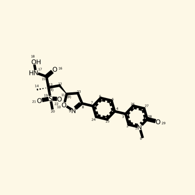 Cn1cc(-c2ccc(C3=NO[C@@H](C[C@](C)(C(=O)NO)S(C)(=O)=O)C3)cc2)ccc1=O